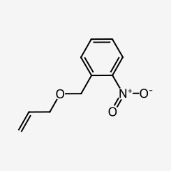 C=CCOCc1ccccc1[N+](=O)[O-]